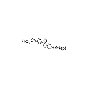 CCCCCCCC1CCC(OC(=O)c2ccc(C=CC(=O)O)cc2)CC1